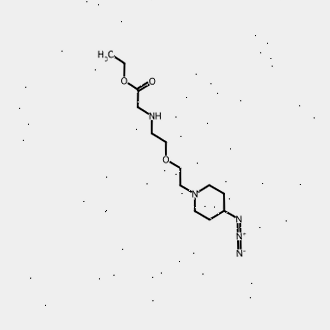 CCOC(=O)CNCCOCCN1CCC(N=[N+]=[N-])CC1